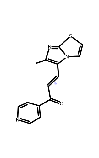 Cc1nc2sccn2c1/C=C/C(=O)c1ccncc1